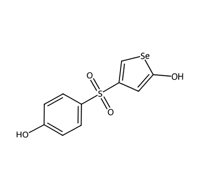 O=S(=O)(c1ccc(O)cc1)c1c[se]c(O)c1